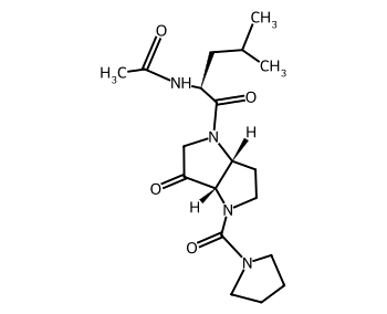 CC(=O)N[C@@H](CC(C)C)C(=O)N1CC(=O)[C@@H]2[C@H]1CCN2C(=O)N1CCCC1